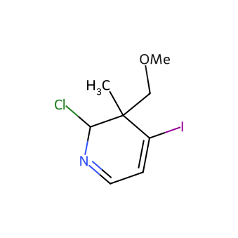 COCC1(C)C(I)=CC=NC1Cl